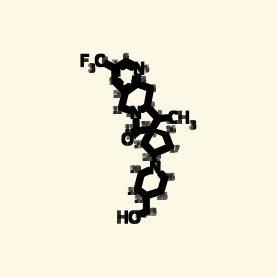 CC1C2Cc3ncc(C(F)(F)F)cc3CN2C(=O)[C@]12CC[C@@H](N1CCC(CO)CC1)C2